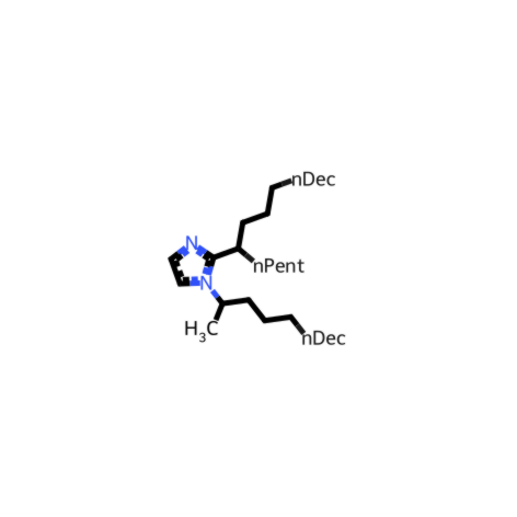 CCCCCCCCCCCCCC(CCCCC)c1nccn1C(C)CCCCCCCCCCCCC